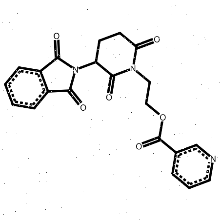 O=C(OCCN1C(=O)CCC(N2C(=O)c3ccccc3C2=O)C1=O)c1cccnc1